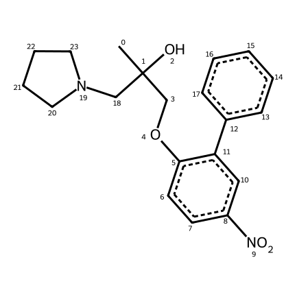 CC(O)(COc1ccc([N+](=O)[O-])cc1-c1ccccc1)CN1CCCC1